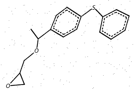 CC(OCC1CO1)c1ccc(Sc2ccccc2)cc1